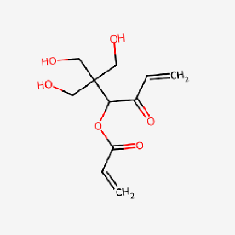 C=CC(=O)OC(C(=O)C=C)C(CO)(CO)CO